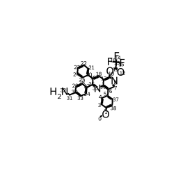 COc1ccc(-c2cnc(OC(=O)C(F)(F)F)c3cc(-c4ccccc4)c(-c4ccc(CN)cc4)nc23)cc1